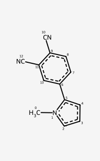 Cn1[c]ccc1-c1ccc(C#N)c(C#N)c1